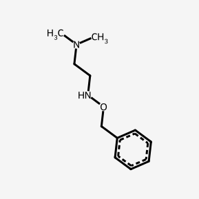 CN(C)CCNOCc1ccccc1